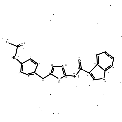 CCC(=O)Nc1ccc(Cc2cnc(NC(=O)c3coc4ccccc34)s2)cc1